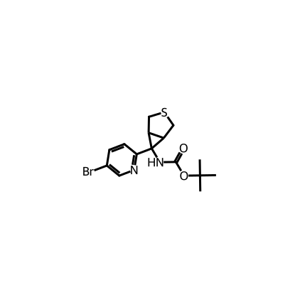 CC(C)(C)OC(=O)NC1(c2ccc(Br)cn2)C2CSCC21